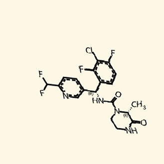 C[C@@H]1C(=O)NCCN1C(=O)N[C@H](c1ccc(C(F)F)nc1)c1ccc(F)c(Cl)c1F